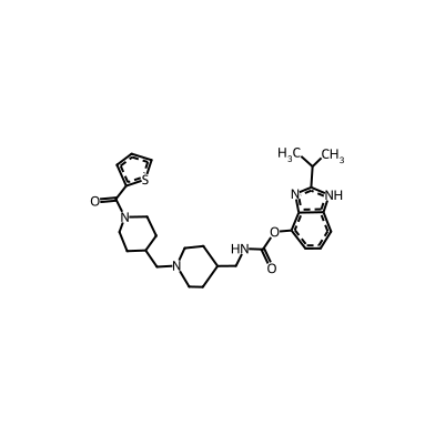 CC(C)c1nc2c(OC(=O)NCC3CCN(CC4CCN(C(=O)c5cccs5)CC4)CC3)cccc2[nH]1